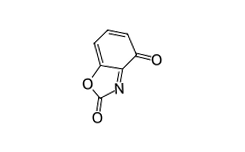 O=C1N=C2C(=O)C=CC=C2O1